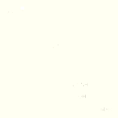 CCCCCCCC/C=C\CCCCCCCCCCCC(=O)CCCCCCCCCCC(=O)NC(CO)CCCCCCCCCCCCCCCC